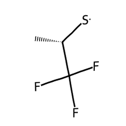 C[C@H]([S])C(F)(F)F